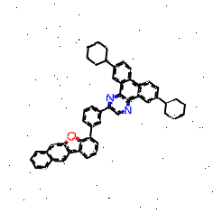 c1cc(-c2cnc3c4cc(C5CCCCC5)ccc4c4ccc(C5CCCCC5)cc4c3n2)cc(-c2cccc3c2oc2cc4ccccc4cc23)c1